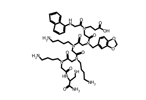 NCCCCN(CC(=O)NC(CS)C(N)=O)C(=O)CN(CCCCN)C(=O)CN(CCCCN)C(=O)CN(Cc1ccc2c(c1)OCO2)C(=O)CN(CCC(=O)O)C(=O)CNc1cccc2ccccc12